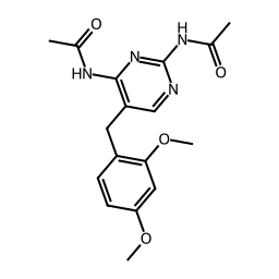 COc1ccc(Cc2cnc(NC(C)=O)nc2NC(C)=O)c(OC)c1